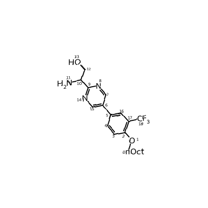 CCCCCCCCOc1ccc(-c2cnc(C(N)CO)nc2)cc1C(F)(F)F